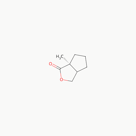 C[C@]12CCCC1COC2=O